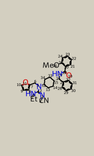 CCNC(=NC#N)N(Cc1ccco1)[C@H]1CC[C@@H](C(NC(=O)c2ccccc2OC)c2ccccc2)CC1